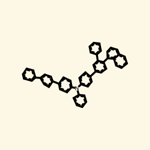 c1ccc(-c2ccc(-c3ccc(N(c4ccccc4)c4ccc(-c5ccc(-c6cccc7ccccc67)c(-c6ccccc6)c5)cc4)cc3)cc2)cc1